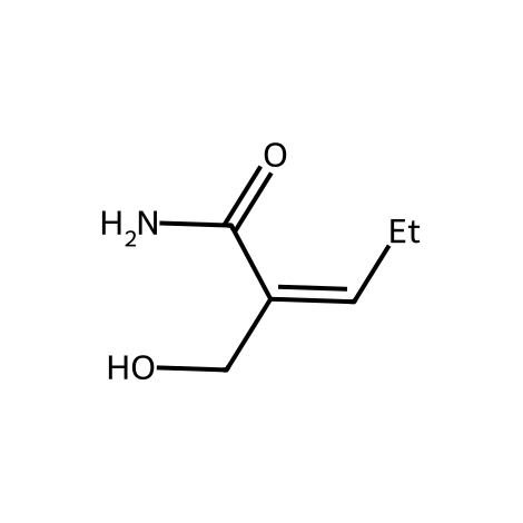 CCC=C(CO)C(N)=O